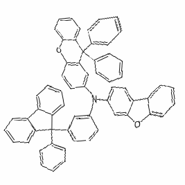 c1ccc(C2(c3ccccc3)c3ccccc3Oc3ccc(N(c4cccc(C5(c6ccccc6)c6ccccc6-c6ccccc65)c4)c4ccc5c(c4)oc4ccccc45)cc32)cc1